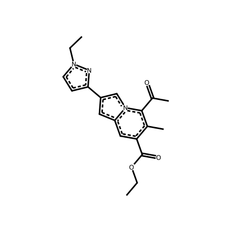 CCOC(=O)c1cc2cc(-c3ccn(CC)n3)cn2c(C(C)=O)c1C